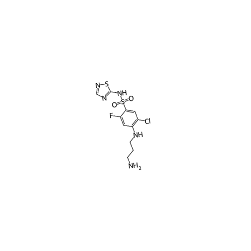 NCCCNc1cc(F)c(S(=O)(=O)Nc2ncns2)cc1Cl